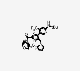 C[C@H]1CCCN1Cc1nc(C(=O)N2CC3CC2CO3)sc1-c1cnc(NC(C)(C)C)cc1C(F)(F)F